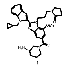 COc1cc(C(=O)N2C[C@H](N)C[C@@H](F)C2)cc2nc(-c3cc4ccccc4n3CC3CC3)n(CCCN3CCCC3=O)c12